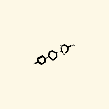 CCCC1COC([C@H]2CC[C@H](c3ccc(F)cc3)CC2)OC1